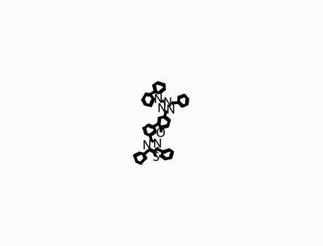 C1=CC(c2nc(-c3cccc4c3oc3ccc(-c5nc(-c6ccccc6)nc(-n6c7ccccc7c7ccccc76)n5)cc34)nc3c2sc2ccccc23)=CCC1